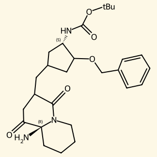 CC(C)(C)OC(=O)N[C@H]1CC(CC2CC(=O)[C@@]3(N)CCCCN3C2=O)CC1OCc1ccccc1